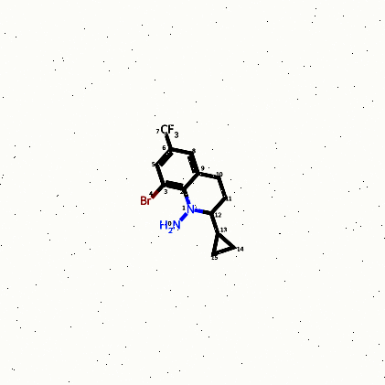 NN1c2c(Br)cc(C(F)(F)F)cc2CCC1C1CC1